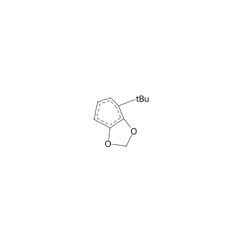 CC(C)(C)c1cccc2c1OCO2